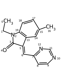 CCN1C(=O)/C(=C/c2ccncn2)c2cc(C)ccc21